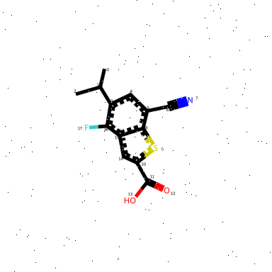 CC(C)c1cc(C#N)c2sc(C(=O)O)cc2c1F